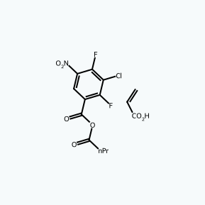 C=CC(=O)O.CCCC(=O)OC(=O)c1cc([N+](=O)[O-])c(F)c(Cl)c1F